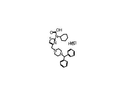 Cl.Cl.O=C(O)N(c1nc(CN2CCN(C(c3ccccc3)c3ccccc3)CC2)cs1)C1CCCCC1